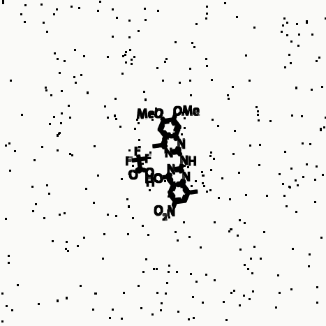 COc1cc2nc(Nc3nc(O)c4cc([N+](=O)[O-])cc(C)c4n3)nc(C)c2cc1OC.O=C(O)C(F)(F)F